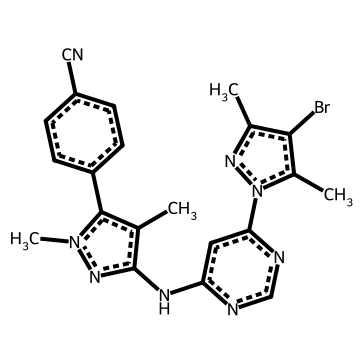 Cc1nn(-c2cc(Nc3nn(C)c(-c4ccc(C#N)cc4)c3C)ncn2)c(C)c1Br